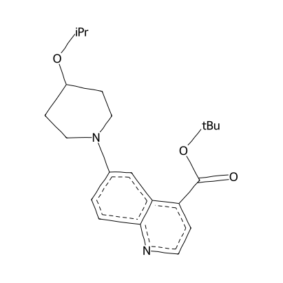 CC(C)OC1CCN(c2ccc3nccc(C(=O)OC(C)(C)C)c3c2)CC1